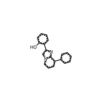 Oc1ccccc1-c1cn2cccc(-c3ccccc3)c2n1